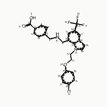 O=C(O)c1ccc(CNCc2cc(C(F)(F)F)cc3ccn(CCOc4ccc(Cl)cc4)c23)cc1